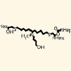 CCCCCCCC(=O)OC(CCCCCC)CSCCCCCC(CCCCCSCC(O)CCCCCC)N(C)CCCCO